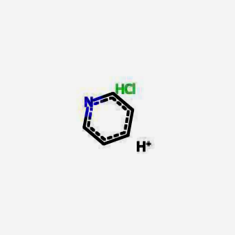 Cl.[H+].c1ccncc1